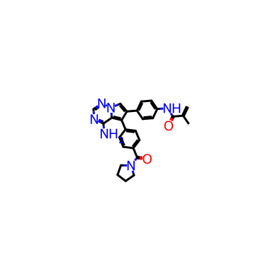 C=C(C)C(=O)Nc1ccc(-c2cn3ncnc(N)c3c2-c2ccc(C(=O)N3CCCC3)cc2)cc1